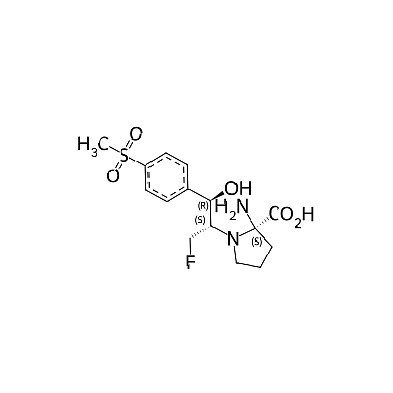 CS(=O)(=O)c1ccc([C@@H](O)[C@@H](CF)N2CCC[C@@]2(N)C(=O)O)cc1